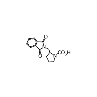 O=C1c2ccccc2C(=O)N1CC1CCCN1C(=O)O